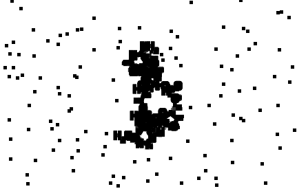 CC(C)(C)[Si](C)(C)OC1[C@H]2O[PH](=O)OC[C@@]34CO[C@@H]([C@H](n5cnc6c(N)ncnc65)O3)[C@@H]4O[P@@](=O)(S)OC[C@H]1O[C@H]2n1cnc2c(N)ncnc21